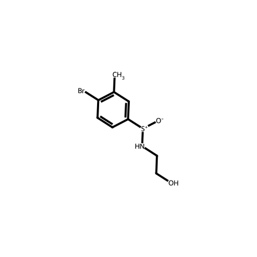 Cc1cc([S+]([O-])NCCO)ccc1Br